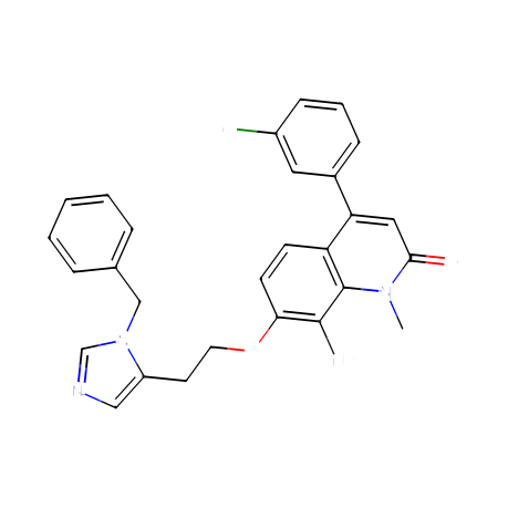 CCCc1c(OCCc2cncn2Cc2ccccc2)ccc2c(-c3cccc(Cl)c3)cc(=O)n(C)c12